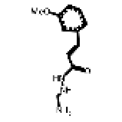 COc1cccc(C=CC(=O)NNCN)c1